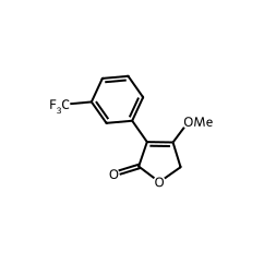 COC1=C(c2cccc(C(F)(F)F)c2)C(=O)OC1